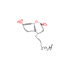 O=C(O)CCCc1cc(=O)oc2cc(O)ccc12